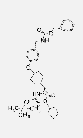 CC(C)(C)OC(=O)N[C@@H](CC1CCC(Oc2ccc(CNC(=O)OCc3ccccc3)cc2)CC1)C(=O)OC1CCCC1